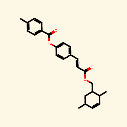 Cc1ccc(C(=O)Oc2ccc(/C=C/C(=O)OCC3CC(C)C=CC3C)cc2)cc1